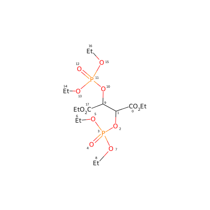 CCOC(=O)C(OP(=O)(OCC)OCC)C(OP(=O)(OCC)OCC)C(=O)OCC